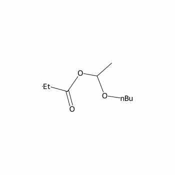 C[CH]C(=O)OC(C)OCCCC